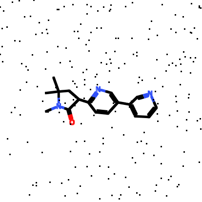 CN1C(=O)C(c2ccc(-c3cccnc3)cn2)CC1(C)C